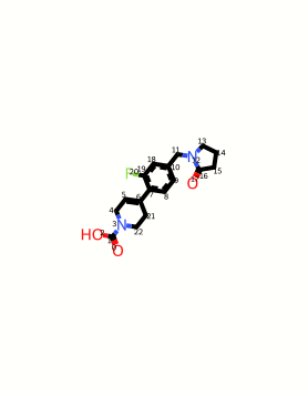 O=C(O)N1CC=C(c2ccc(CN3CCCC3=O)cc2F)CC1